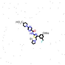 CC[C@@H]1CCCN1Cc1sc(NC(=O)c2cnc(N3CCC(C(=O)O)CC3)cn2)nc1-c1cc(CF)cc(OC)c1